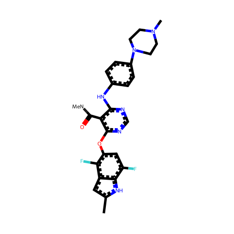 CNC(=O)c1c(Nc2ccc(N3CCN(C)CC3)cc2)ncnc1Oc1cc(F)c2[nH]c(C)cc2c1F